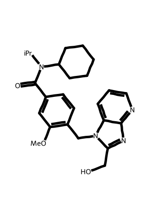 COc1cc(C(=O)N(C(C)C)C2CCCCC2)ccc1Cn1c(CO)nc2ncccc21